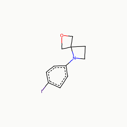 Ic1ccc(N2CCC23COC3)cc1